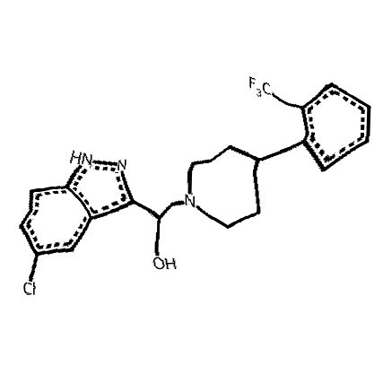 OC(c1n[nH]c2ccc(Cl)cc12)N1CCC(c2ccccc2C(F)(F)F)CC1